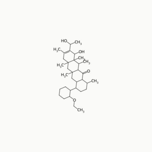 CCOC1CCCCC1C1CCC(C)C2C(=O)C3C(C)C4(C)C(O)C(C(C)O)=C(C)CC4(C)CC3(C)CC12